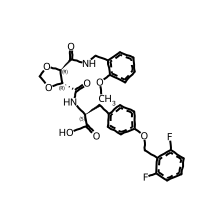 COc1ccccc1CNC(=O)[C@@H]1OCO[C@H]1C(=O)N[C@@H](Cc1ccc(OCc2c(F)cccc2F)cc1)C(=O)O